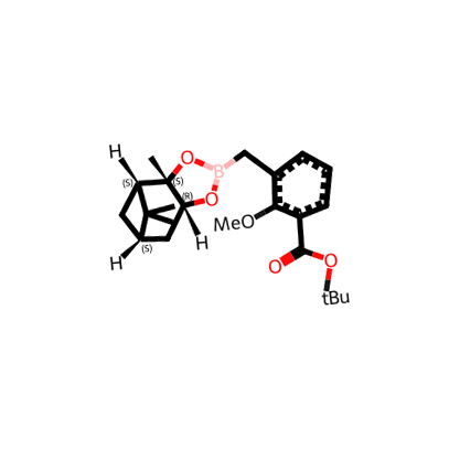 COc1c(CB2O[C@@H]3C[C@@H]4C[C@@H](C4(C)C)[C@]3(C)O2)cccc1C(=O)OC(C)(C)C